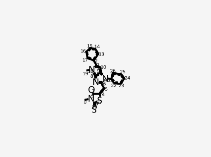 CN1C(=O)/C(=C\c2nc3c(cc(-c4ccccc4)n3C)n2-c2ccccc2)SC1=S